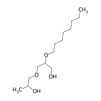 CCCCCCCCOC([CH]OCC(C)O)CO